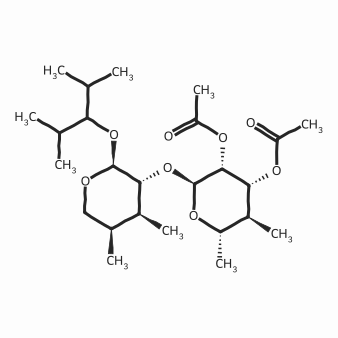 CC(=O)O[C@@H]1[C@@H](C)[C@H](C)O[C@@H](O[C@H]2[C@H](OC(C(C)C)C(C)C)OC[C@H](C)[C@@H]2C)[C@@H]1OC(C)=O